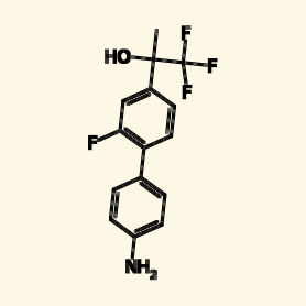 CC(O)(c1ccc(-c2ccc(N)cc2)c(F)c1)C(F)(F)F